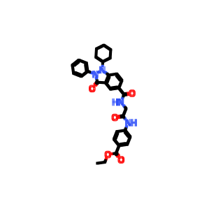 CCOC(=O)c1ccc(NC(=O)CNC(=O)c2ccc3c(c2)c(=O)n(-c2ccccc2)n3C2CCCCC2)cc1